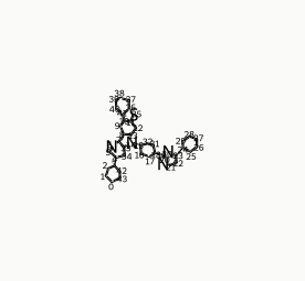 c1ccc(-c2cnc3c4cc5c(cc4n(-c4ccc(-c6nccc(-c7ccccc7)n6)cc4)c3c2)sc2ccccc25)cc1